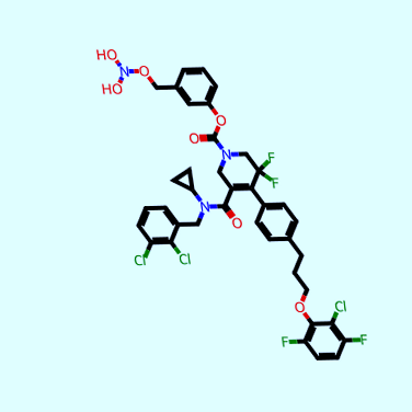 O=C(Oc1cccc(CON(O)O)c1)N1CC(C(=O)N(Cc2cccc(Cl)c2Cl)C2CC2)=C(c2ccc(CCCOc3c(F)ccc(F)c3Cl)cc2)C(F)(F)C1